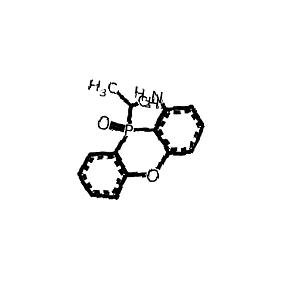 CC(C)P1(=O)c2ccccc2Oc2cccc(N)c21